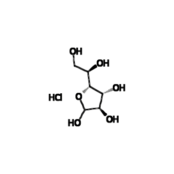 Cl.OC[C@@H](O)[C@H]1OC(O)[C@H](O)[C@H]1O